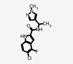 CC(NC(=O)c1cc2c(F)c(Cl)ccc2[nH]1)c1cnn(C)c1